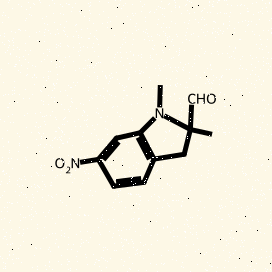 CN1c2cc([N+](=O)[O-])ccc2CC1(C)C=O